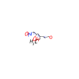 CCC(/C=C/C=O)=C\C(O)=C\N=O